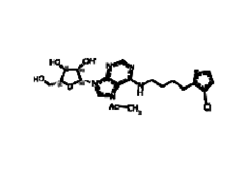 CC(C)=O.OC[C@H]1O[C@@H](n2cnc3c(NCCCCc4sccc4Cl)ncnc32)[C@H](O)[C@@H]1O